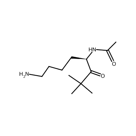 CC(=O)N[C@H](CCCCN)C(=O)C(C)(C)C